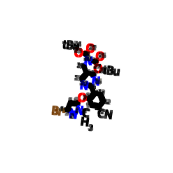 Cn1nc(Br)cc1Oc1cc(C#N)ccc1-c1ncc(CN(C(=O)OC(C)(C)C)C(=O)OC(C)(C)C)cn1